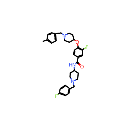 Cc1ccc(CN2CCC(Oc3ccc(C(=O)NC4CCN(Cc5ccc(F)cc5)CC4)cc3F)CC2)cc1